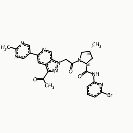 CC(=O)c1nn(CC(=O)N2C[C@H](C)C[C@H]2C(=O)Nc2cccc(Br)n2)c2cnc(-c3cnc(C)nc3)cc12